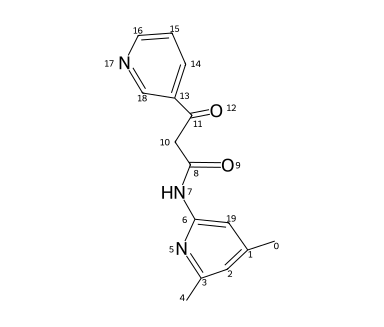 Cc1cc(C)nc(NC(=O)CC(=O)c2cccnc2)c1